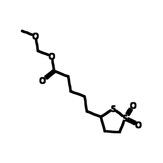 COCOC(=O)CCCCC1CCS(=O)(=O)S1